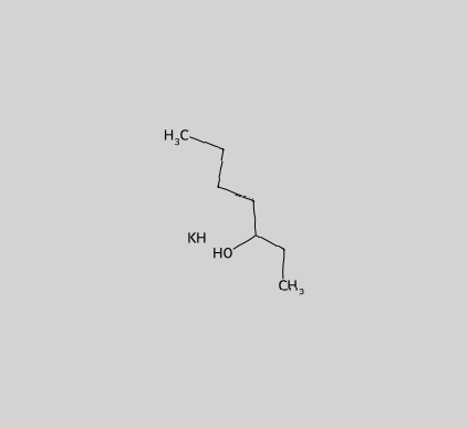 CCCCC(O)CC.[KH]